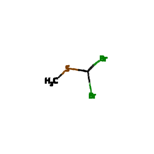 CSC(Br)Br